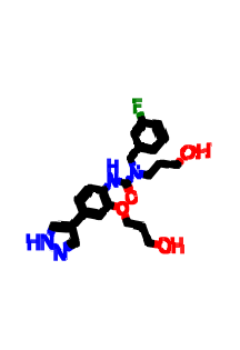 O=C(Nc1ccc(-c2cn[nH]c2)cc1OCCCO)N(CCCO)Cc1cccc(F)c1